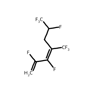 C=C(F)/C(F)=C(\CC(F)C(F)(F)F)C(F)(F)F